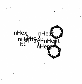 CCCCCC[CH2][Al-]([CH2]CCCCCC)([CH2]CCCCCC)[CH2]CCCCCC.CCCCCC[PH2+]CC.c1ccc(-c2ccccc2)cc1